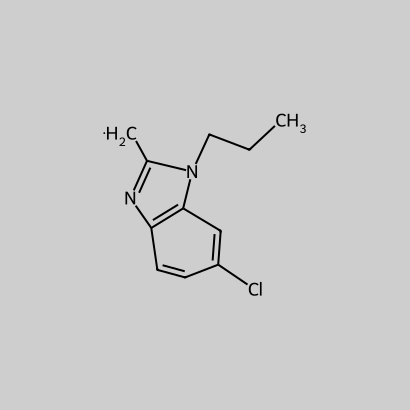 [CH2]c1nc2ccc(Cl)cc2n1CCC